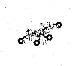 Cc1ccccc1C[C@H](NC(=O)[C@@H](NC(=O)OCc1ccccn1)C(C)C)[C@H](O)[C@H](Cc1ccccc1)NC(=O)[C@@H](NC(=O)OCc1ccccn1)C(C)C